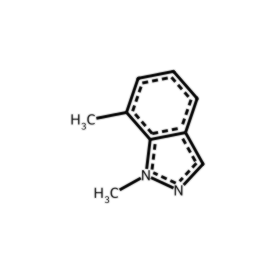 Cc1cccc2cnn(C)c12